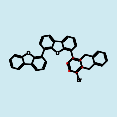 Brc1ccc(-c2cccc3c2oc2c(-c4cccc5c4oc4ccccc45)cccc23)c2c1C1c3ccccc3C2c2ccccc21